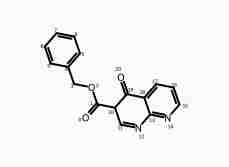 O=C(OCc1ccccc1)C1C=Nc2ncccc2C1=O